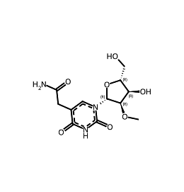 CO[C@@H]1[C@H](O)[C@@H](CO)O[C@H]1n1cc(CC(N)=O)c(=O)[nH]c1=O